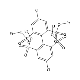 CCOS(=O)(=O)c1cc(Cl)cc(S(=O)(=O)OCC)c1-c1c(S(=O)(=O)OCC)cc(Cl)cc1S(=O)(=O)OCC